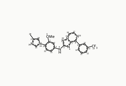 COc1cc(Nc2nc3c(-c4cccc(C(F)(F)F)c4)nccn3n2)ccc1-n1cnc(C)c1